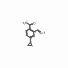 N=Cc1cc(C2CC2)ccc1C(N)=O